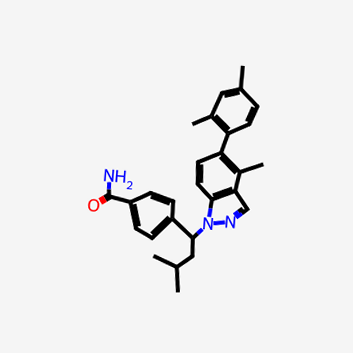 Cc1ccc(-c2ccc3c(cnn3C(CC(C)C)c3ccc(C(N)=O)cc3)c2C)c(C)c1